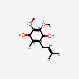 COC1=C(OC)C(=O)C(CC=C(C)C)=C(C)C1=O